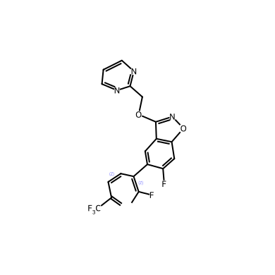 C=C(/C=C\C(=C(/C)F)c1cc2c(OCc3ncccn3)noc2cc1F)C(F)(F)F